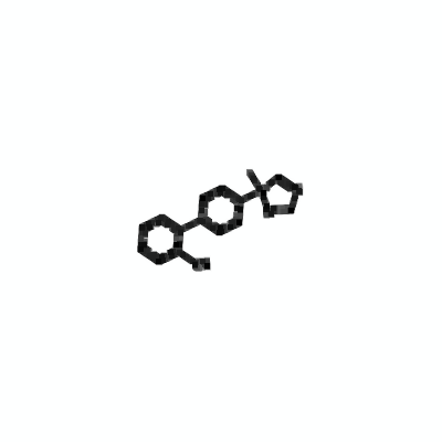 C[N+]1(c2ccc(-c3ccccc3C#N)cc2)C=NC=N1